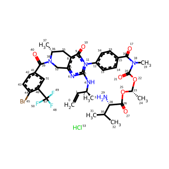 C=C[C@H](C)Nc1nc2c(c(=O)n1-c1ccc(C(=O)N(C)C(=O)O[C@H](C)OC(=O)[C@@H](N)C(C)C)cc1)C[C@@H](C)N(C(=O)c1ccc(Br)c(C(F)(F)F)c1)C2.Cl